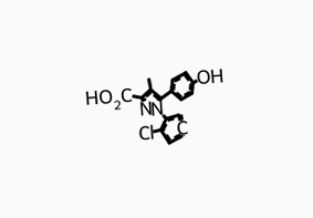 Cc1c(C(=O)O)nn(-c2ccccc2Cl)c1-c1ccc(O)cc1